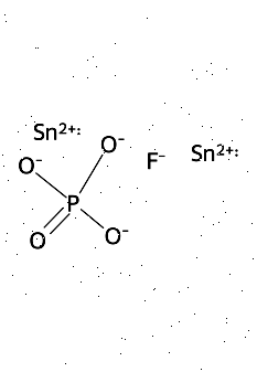 O=P([O-])([O-])[O-].[F-].[Sn+2].[Sn+2]